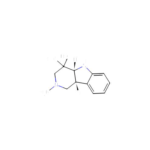 BN1C[C@H]2c3ccccc3N[C@H]2C(C)(C)C1